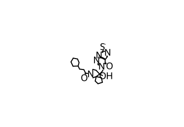 CSc1ncc2c(=O)n(CC3(O)CCN(C(=O)CCC4CCCCC4)CC34CCCC4)cnc2n1